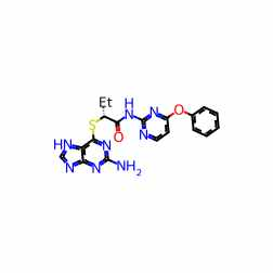 CC[C@@H](Sc1nc(N)nc2nc[nH]c12)C(=O)Nc1nccc(Oc2ccccc2)n1